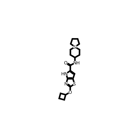 O=C(NC1CC[Si]2(CCCC2)CC1)c1cc2sc(OC3CCC3)nc2[nH]1